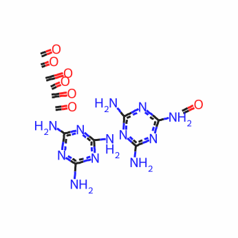 C=O.C=O.C=O.C=O.C=O.C=O.C=O.Nc1nc(N)nc(N)n1.Nc1nc(N)nc(N)n1